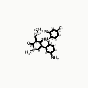 CN/C=C1\C(=N)C(c2cc(N)ccc2Oc2ccc(Cl)cc2F)=CN(C)C1=O